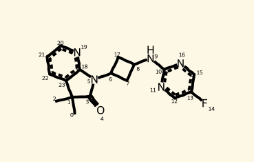 CC1(C)C(=O)N(C2CC(Nc3ncc(F)cn3)C2)c2ncccc21